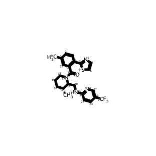 Cc1ccc(-c2nccs2)c(C(=O)N2CCC[C@@H](C)C2CNc2ccc(C(F)(F)F)cn2)c1